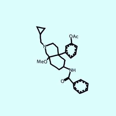 COC12CCC(NC(=O)c3ccccc3)CC1(c1cccc(OC(C)=O)c1)CCN(CC1CC1)C2